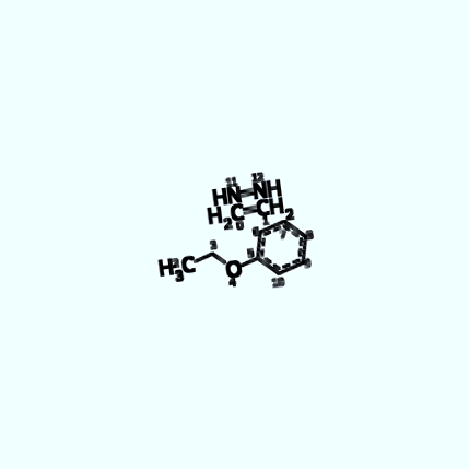 C=C.CCOc1ccccc1.N=N